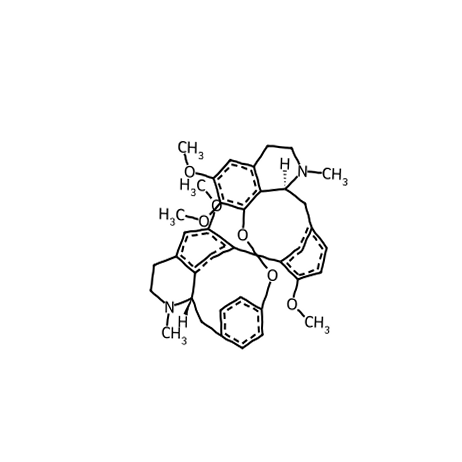 COc1ccc2cc1C1(Oc3ccc(cc3)C[C@H]3c4cc1c(OC)cc4CCN3C)Oc1c(OC)c(OC)cc3c1[C@H](C2)N(C)CC3